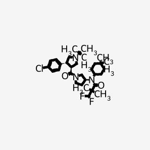 CC1(C)CCC(N(C(=O)C(C)(C)C(F)F)[C@H]2CCN(C(=O)[C@@H]3CN(C(C)(C)C)C[C@H]3c3ccc(Cl)cc3)C2)CC1